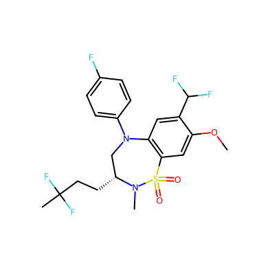 COc1cc2c(cc1C(F)F)N(c1ccc(F)cc1)C[C@@H](CCC(C)(F)F)N(C)S2(=O)=O